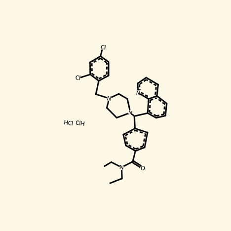 CCN(CC)C(=O)c1ccc(C(c2cccc3cccnc23)N2CCN(Cc3ccc(Cl)cc3Cl)CC2)cc1.Cl.Cl